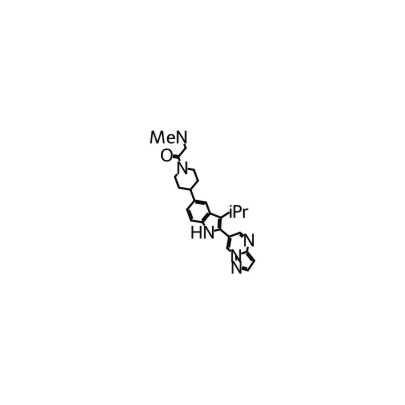 CNCC(=O)N1CCC(c2ccc3[nH]c(-c4cnc5ccnn5c4)c(C(C)C)c3c2)CC1